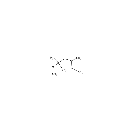 CO[Si](C)(C)CC(C)CN